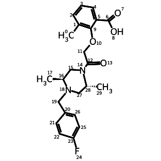 Cc1cccc(C(=O)O)c1OCC(=O)N1C[C@H](C)N(Cc2ccc(F)cc2)C[C@H]1C